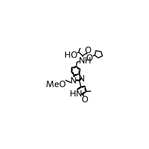 COCCn1c(-c2c[nH]c(=O)c(C)c2)nc2cc(CNC(C(=O)OC3CCCC3)C(C)O)ccc21